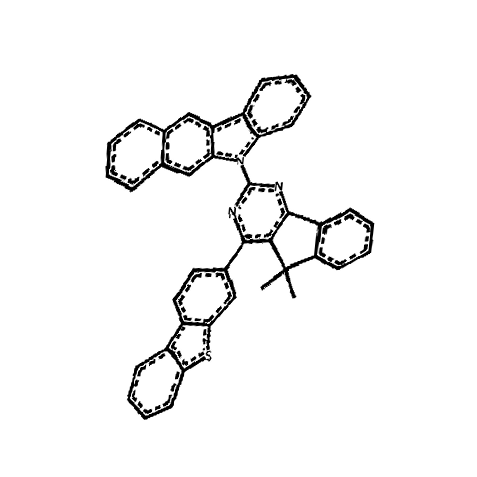 CC1(C)c2ccccc2-c2nc(-n3c4ccccc4c4cc5ccccc5cc43)nc(-c3ccc4c(c3)sc3ccccc34)c21